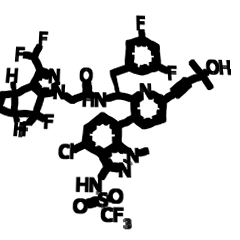 Cn1nc(NS(=O)(=O)C(F)(F)F)c2c(Cl)ccc(-c3ccc(C#CC(C)(C)O)nc3[C@H](Cc3cc(F)cc(F)c3)NC(=O)Cn3nc(C(F)F)c4c3C(F)(F)[C@@H]3CC[C@H]43)c21